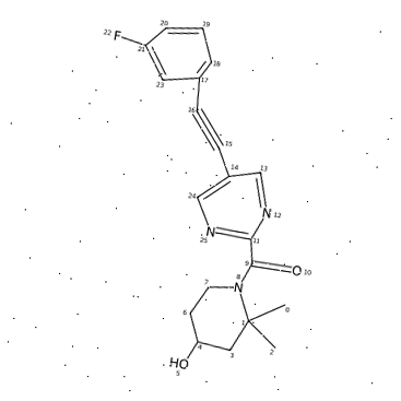 CC1(C)CC(O)CCN1C(=O)c1ncc(C#Cc2cccc(F)c2)cn1